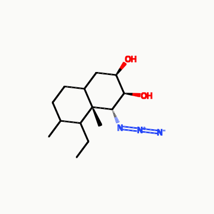 CCC1C(C)CCC2C[C@@H](O)[C@@H](O)[C@H](N=[N+]=[N-])[C@@]21C